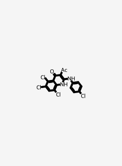 CC(=O)c1c(Nc2ccc(Cl)cc2)[nH]c2c(Cl)cc(Cl)c(Cl)c2c1=O